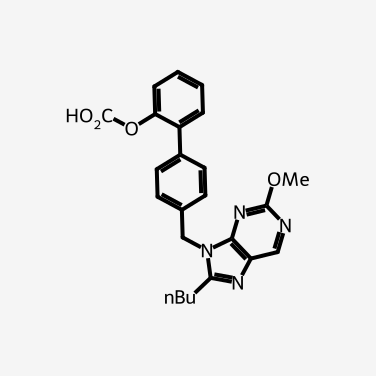 CCCCc1nc2cnc(OC)nc2n1Cc1ccc(-c2ccccc2OC(=O)O)cc1